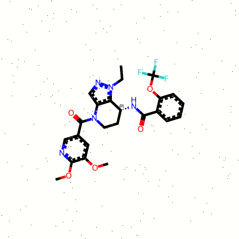 CCn1ncc2c1[C@H](NC(=O)c1ccccc1OC(F)(F)F)CCN2C(=O)c1cnc(OC)c(OC)c1